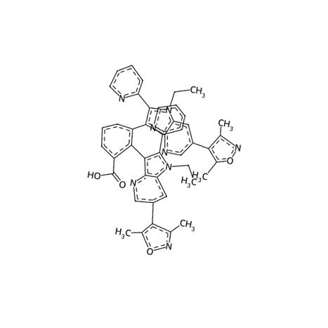 CCn1c(-c2ccccn2)c(-c2cccc(C(=O)O)c2-c2c(-c3ccccn3)n(CC)c3cc(-c4c(C)noc4C)cnc23)c2ncc(-c3c(C)noc3C)cc21